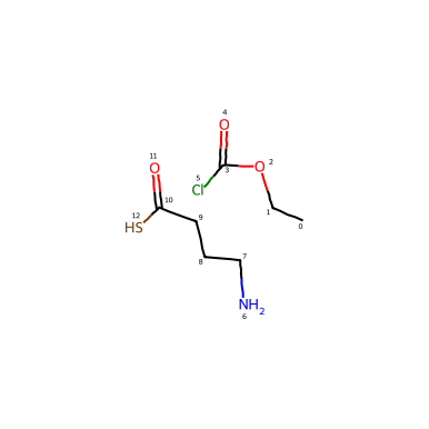 CCOC(=O)Cl.NCCCC(=O)S